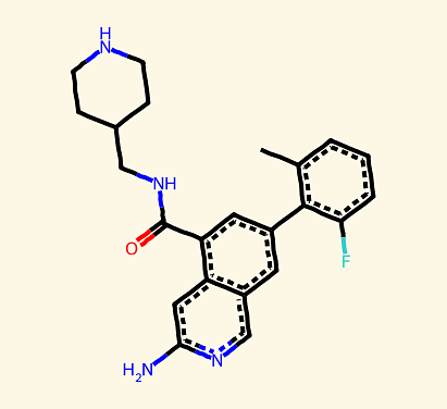 Cc1cccc(F)c1-c1cc(C(=O)NCC2CCNCC2)c2cc(N)ncc2c1